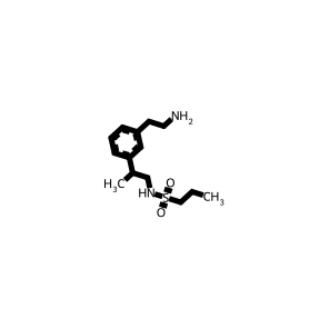 CCCS(=O)(=O)NCC(C)c1cccc(CCN)c1